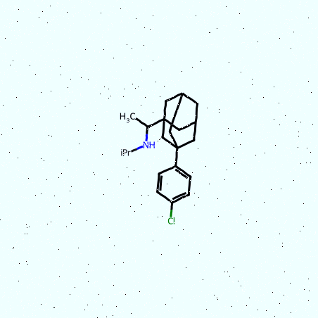 CC(C)NC(C)C12CC3CC(CC(c4ccc(Cl)cc4)(C3)C1)C2